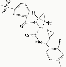 CCS(=O)(=O)c1cccc(C(=O)N2[C@@H](C(=O)N[C@@H](c3ccc(C(F)(F)F)cc3F)C3CC3)C[C@H]3C[C@H]32)c1